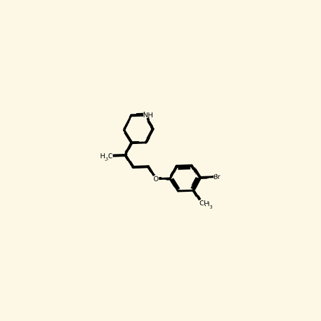 Cc1cc(OCCC(C)C2CCNCC2)ccc1Br